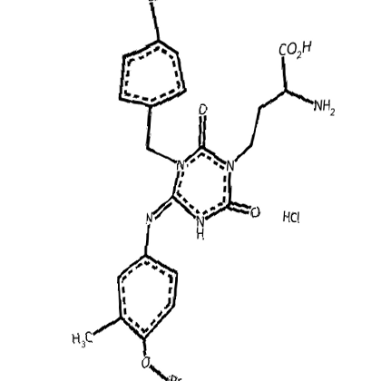 Cc1cc(N=c2[nH]c(=O)n(CCC(N)C(=O)O)c(=O)n2Cc2ccc(Cl)cc2)ccc1OC(C)C.Cl